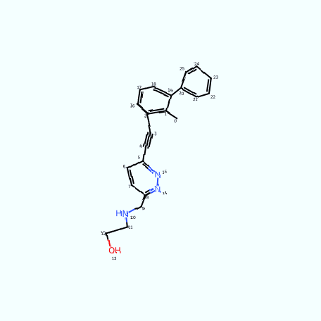 Cc1c(C#Cc2ccc(CNCCO)nn2)cccc1-c1ccccc1